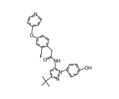 CC(C)(C)c1cc(NC(=O)Cc2ccc(Oc3ccncc3)cc2F)n(-c2ccc(O)cc2)n1